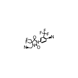 N#CCN1C(=O)N(c2ccc(C#N)c(C(F)(F)F)c2)C(=O)C1(CF)CF